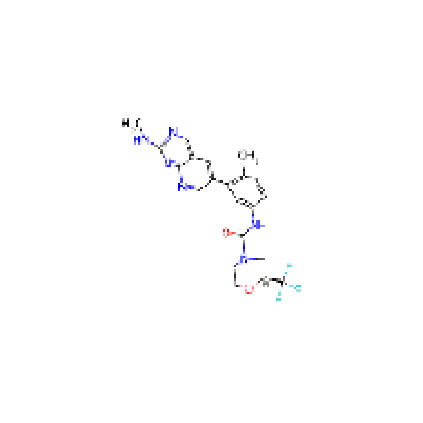 CNc1ncc2cc(-c3cc(NC(=O)N4CCO[C@H](C(F)(F)F)C4)ccc3C)cnc2n1